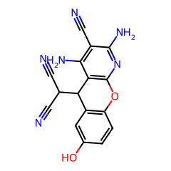 N#Cc1c(N)nc2c(c1N)C(C(C#N)C#N)c1cc(O)ccc1O2